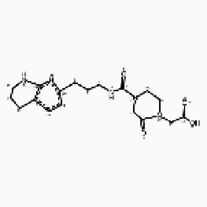 O=C1CN(C(=O)NCCCc2ccc3c(n2)NCCC3)CCN1CC(O)O